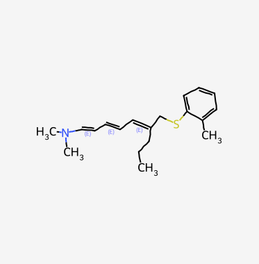 CCC\C(=C/C=C/C=C/N(C)C)CSc1ccccc1C